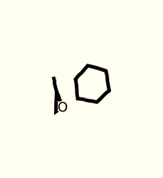 C1CCCCC1.CC1CO1